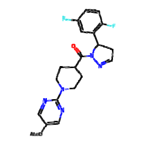 COc1cnc(N2CCC(C(=O)N3N=CCC3c3cc(F)ccc3F)CC2)nc1